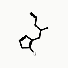 [Li][C]1=C(CC(C)CC=C)C=CC1